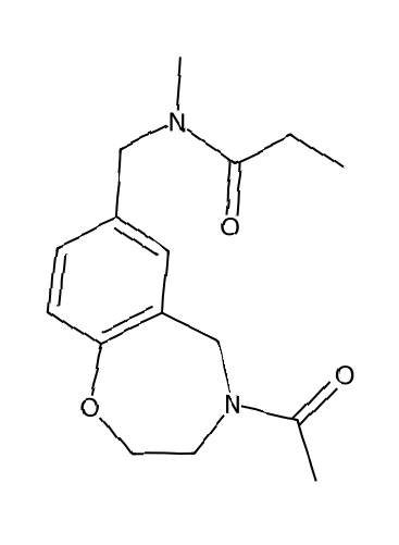 CCC(=O)N(C)Cc1ccc2c(c1)CN(C(C)=O)CCO2